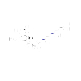 C=C(C)OC(=O)NC(CC(=O)O)C(=O)N[C@@H](CSC/C=C(\C)CC/C=C(\C)CCC=C(C)C)C(=O)O